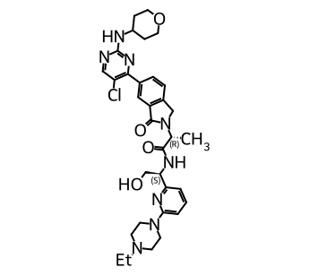 CCN1CCN(c2cccc([C@@H](CO)NC(=O)[C@@H](C)N3Cc4ccc(-c5nc(NC6CCOCC6)ncc5Cl)cc4C3=O)n2)CC1